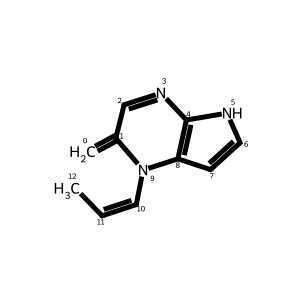 C=C1C=Nc2[nH]ccc2N1/C=C\C